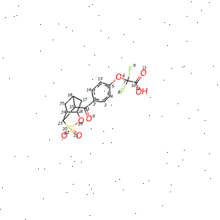 O=C(c1ccc(OC(F)(F)C(=O)O)cc1)C1C2CC3OS(=O)(=O)C1C3C2